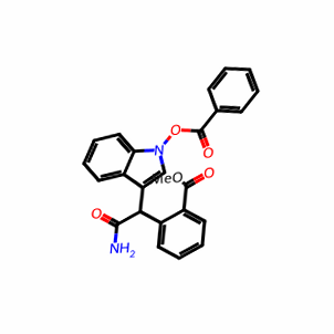 COC(=O)c1ccccc1C(C(N)=O)c1cn(OC(=O)c2ccccc2)c2ccccc12